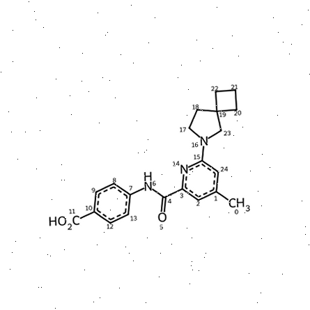 Cc1cc(C(=O)Nc2ccc(C(=O)O)cc2)nc(N2CCC3(CCC3)C2)c1